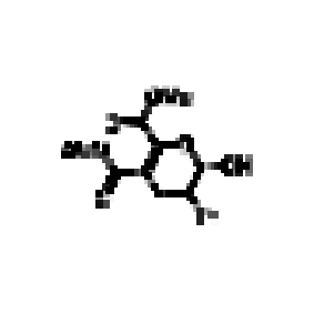 CCC1CC(C(=O)OC)=C(C(=O)OC)OC1O